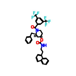 O=C(NCCc1cccc2ccccc12)O[C@H]1CCN(C(=O)c2cc(C(F)(F)F)cc(C(F)(F)F)c2)[C@H](Cc2ccccc2)C1